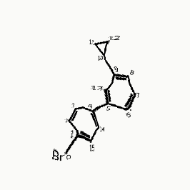 Brc1ccc(-c2[c]ccc(C3CC3)c2)cc1